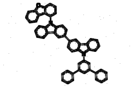 c1ccc(-c2cc(-c3ccccc3)cc(-n3c4ccccc4c4cc(-c5ccc6c(c5)c5ccccc5n6-c5cccc6oc7ccccc7c56)ccc43)c2)cc1